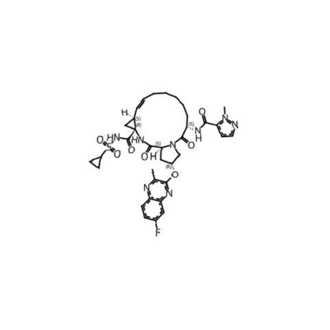 Cc1nc2ccc(F)cc2nc1O[C@@H]1C[C@H]2C(=O)N[C@]3(C(=O)NS(=O)(=O)C4CC4)C[C@H]3C=CCCCCC[C@H](NC(=O)c3ccnn3C)C(=O)N2C1